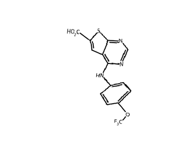 O=C(O)c1cc2c(Nc3ccc(OC(F)(F)F)cc3)ncnc2s1